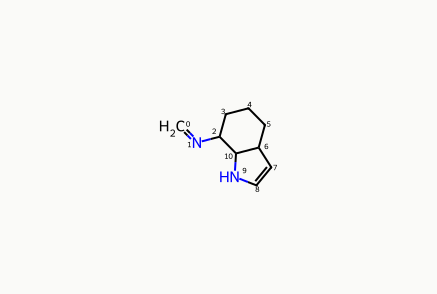 C=NC1CCCC2C=CNC21